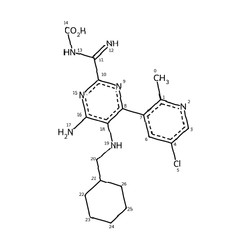 Cc1ncc(Cl)cc1-c1nc(C(=N)NC(=O)O)nc(N)c1NCC1CCCCC1